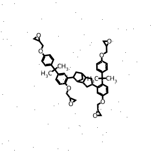 CC(C)(c1ccc(OCC2CO2)cc1)c1ccc(OCC2CO2)c(C2CC3CC2C2CC(c4cc(OCC5CO5)ccc4C(C)(C)c4ccc(OCC5CO5)cc4)CC32)c1